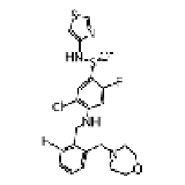 [O-][S+](Nc1cscn1)c1cc(Cl)c(NCc2c(F)cccc2CN2CCOCC2)cc1F